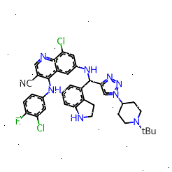 CC(C)(C)N1CCC(n2cc(C(Nc3cc(Cl)c4ncc(C#N)c(Nc5ccc(F)c(Cl)c5)c4c3)c3cccc4c3CCN4)nn2)CC1